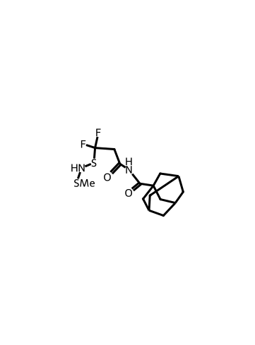 CSNSC(F)(F)CC(=O)NC(=O)C12CC3CC(CC(C3)C1)C2